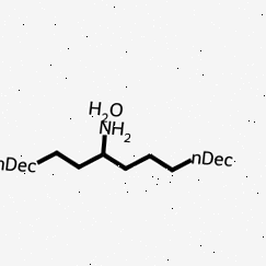 CCCCCCCCCCCCCC(N)CCCCCCCCCCCC.O